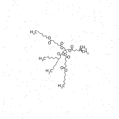 CCCCCCCOC(=O)CCCCC(=O)OCC(COC(=O)CCCCC(=O)OCCCCCCC)(COC(=O)CCCN(C)C)COC(=O)CC(CCCCCC)CCCCCC